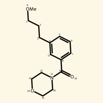 COCC[CH]c1cccc(C(=O)N2CCOCC2)c1